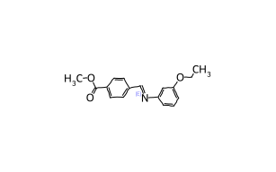 CCOc1cccc(/N=C/c2ccc(C(=O)OC)cc2)c1